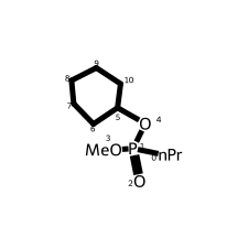 CCCP(=O)(OC)OC1CCCCC1